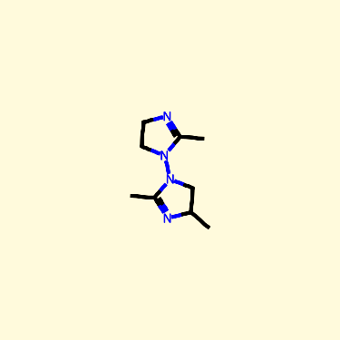 CC1=NCCN1N1CC(C)N=C1C